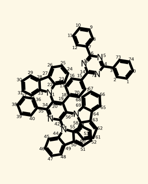 c1ccc(-c2nc(-c3ccccc3)nc(-c3ccc(-c4c(-n5c6ccccc6c6ccccc65)c(-c5ccccc5)nc(-n5c6ccccc6c6ccccc65)c4-n4c5ccccc5c5ccccc54)cc3)n2)cc1